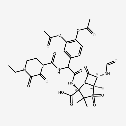 CCN1CCN(C(=O)NC(C(=O)N[C@@]2(C(=O)O)N3C(=O)[C@H](NC=O)[C@H]3S(=O)(=O)C2(C)C)c2ccc(OC(C)=O)c(OC(C)=O)c2)C(=O)C1=O